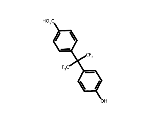 O=C(O)c1ccc(C(c2ccc(O)cc2)(C(F)(F)F)C(F)(F)F)cc1